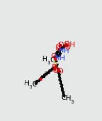 CCCCCCCCCCCCCCCC(=O)OC[C@H](CSC[C@H](C)C(=O)Nc1ccc(C(=O)NC(CCC(=O)O)C(=O)O)cc1)OC(=O)CCCCCCCCCCCCCCC